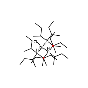 CCC(C)[PH](C(C)CC)(C(C)CC)[Ru]([Cl])([PH](C(C)CC)(C(C)CC)C(C)CC)[PH](C(C)CC)(C(C)CC)C(C)CC